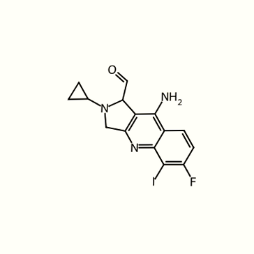 Nc1c2c(nc3c(I)c(F)ccc13)CN(C1CC1)C2C=O